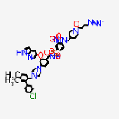 CC1(C)C=CC(CN2CCN(c3ccc(C(=O)NS(=O)(=O)c4ccc(NCC5CCN(C(=O)CCCN=[N+]=[N-])CC5)c([N+](=O)[O-])c4)c(Oc4cnc5[nH]ccc5c4)c3)CC2)C(c2ccc(Cl)cc2)=C1